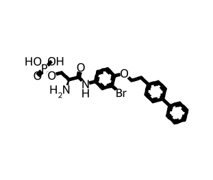 N[C@@H](COP(=O)(O)O)C(=O)Nc1ccc(OCCc2ccc(-c3ccccc3)cc2)c(Br)c1